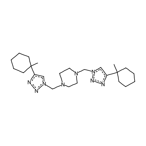 CC1(c2cn(CN3CCN(Cn4cc(C5(C)CCCCC5)nn4)CC3)nn2)CCCCC1